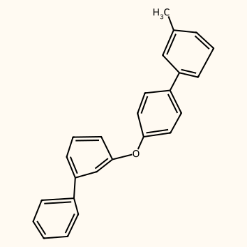 Cc1cccc(-c2ccc(Oc3cccc(-c4ccccc4)c3)cc2)c1